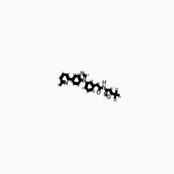 Cc1cccc(-c2ccc3c(c2)ncn3-c2cccc(CC(=O)Nc3cc(C(C)(C)C)on3)c2)n1